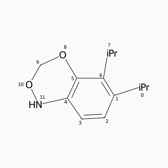 CC(C)c1ccc2c(c1C(C)C)OCON2